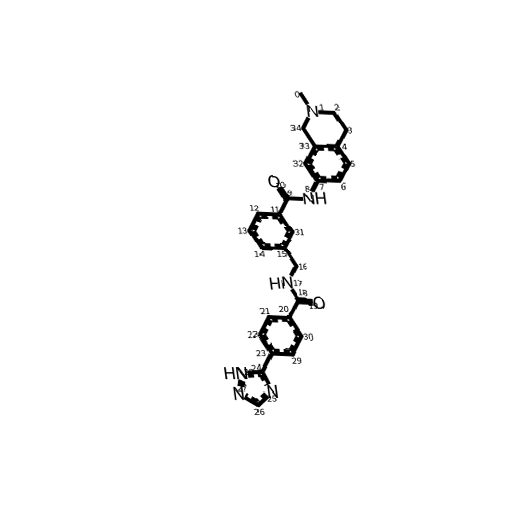 CN1CCc2ccc(NC(=O)c3cccc(CNC(=O)c4ccc(-c5ncn[nH]5)cc4)c3)cc2C1